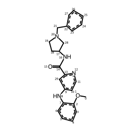 COc1ccccc1Nc1ccnc(C(=O)NC2CCN(Cc3ccccc3)C2)c1